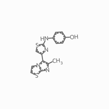 Cc1nc2sccn2c1-c1csc(Nc2ccc(O)cc2)n1